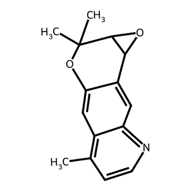 Cc1ccnc2cc3c(cc12)OC(C)(C)C1OC31